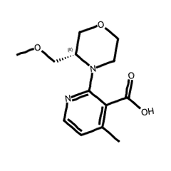 COC[C@@H]1COCCN1c1nccc(C)c1C(=O)O